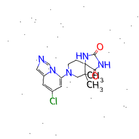 CC1(C)CN(c2cc(Cl)cc3cncn23)CCC12NC(=O)NC2=O